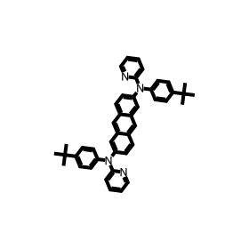 CC(C)(C)c1ccc(N(c2ccc3cc4cc(N(c5ccc(C(C)(C)C)cc5)c5ccccn5)ccc4cc3c2)c2ccccn2)cc1